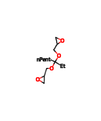 CCCCCC(CC)(OCC1CO1)OCC1CO1